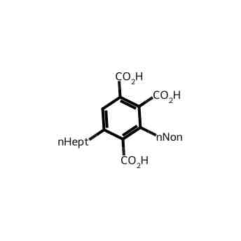 CCCCCCCCCc1c(C(=O)O)c(CCCCCCC)cc(C(=O)O)c1C(=O)O